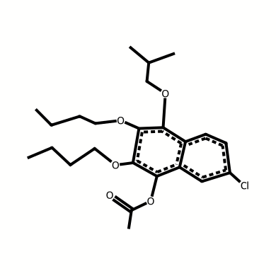 CCCCOc1c(OCCCC)c(OC(C)=O)c2cc(Cl)ccc2c1OCC(C)C